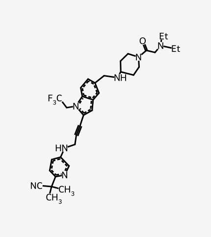 CCN(CC)CC(=O)N1CCC(NCc2ccc3c(c2)cc(C#CCNc2ccc(C(C)(C)C#N)nc2)n3CC(F)(F)F)CC1